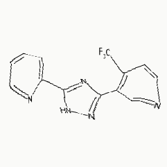 FC(F)(F)c1ccncc1-c1n[nH]c(-c2ccccn2)n1